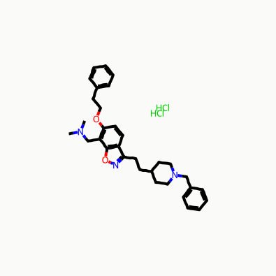 CN(C)Cc1c(OCCc2ccccc2)ccc2c(CCC3CCN(Cc4ccccc4)CC3)noc12.Cl.Cl